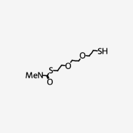 CNC(=O)SCCOCCOCCS